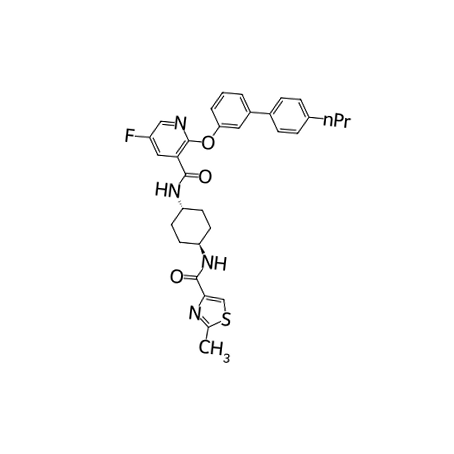 [CH2]CCc1ccc(-c2cccc(Oc3ncc(F)cc3C(=O)N[C@H]3CC[C@H](NC(=O)c4csc(C)n4)CC3)c2)cc1